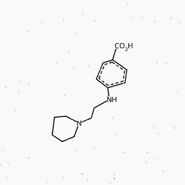 O=C(O)c1ccc(NCCN2CCCCC2)cc1